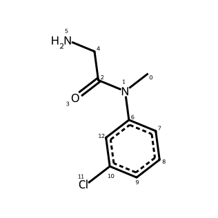 CN(C(=O)CN)c1cccc(Cl)c1